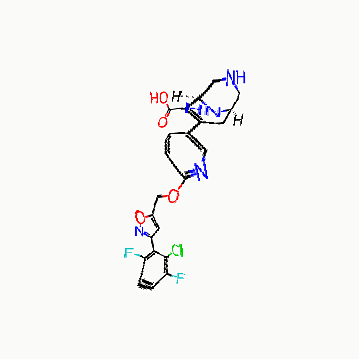 O=C(O)C1=C(c2ccc(OCc3cc(-c4c(F)ccc(F)c4Cl)no3)nc2)C[C@@H]2CNC[C@H]1N2